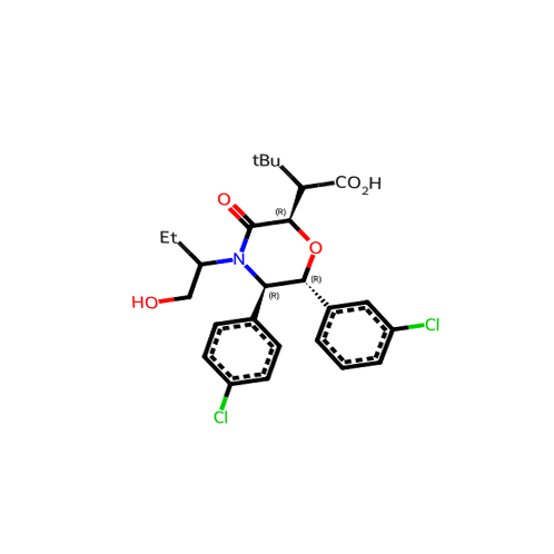 CCC(CO)N1C(=O)[C@@H](C(C(=O)O)C(C)(C)C)O[C@H](c2cccc(Cl)c2)[C@H]1c1ccc(Cl)cc1